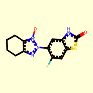 O=c1[nH]c2cc(-n3nc4c([n+]3[O-])CCCC4)c(F)cc2s1